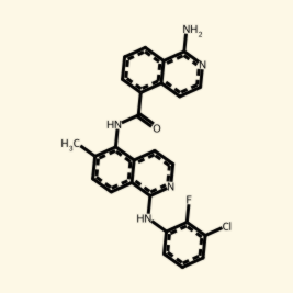 Cc1ccc2c(Nc3cccc(Cl)c3F)nccc2c1NC(=O)c1cccc2c(N)nccc12